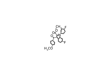 CCOC(=O)c1c(C(=O)c2ccc(OC)cc2)c2ccc(F)cc2n1-c1ccc(F)cc1